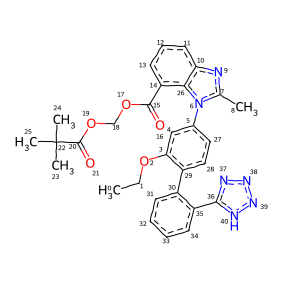 CCOc1cc(-n2c(C)nc3cccc(C(=O)OCOC(=O)C(C)(C)C)c32)ccc1-c1ccccc1-c1nnn[nH]1